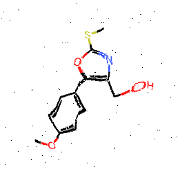 COc1ccc(-c2oc(SC)nc2CO)cc1